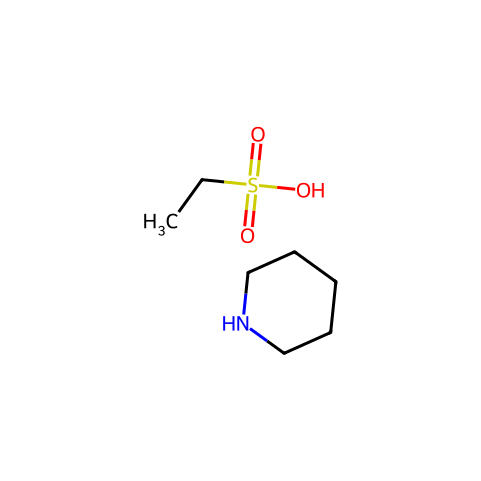 C1CCNCC1.CCS(=O)(=O)O